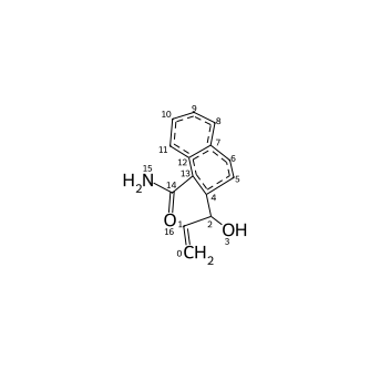 C=CC(O)c1ccc2ccccc2c1C(N)=O